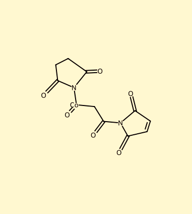 O=C1C=CC(=O)N1C(=O)[CH2][Co](=[O])[N]1C(=O)CCC1=O